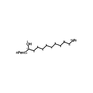 CCCCCC(O)CCCCCCCCCC(C)C